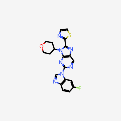 Fc1ccc2ncn(-c3ncc4nc(-c5nccs5)n(C5CCOCC5)c4n3)c2c1